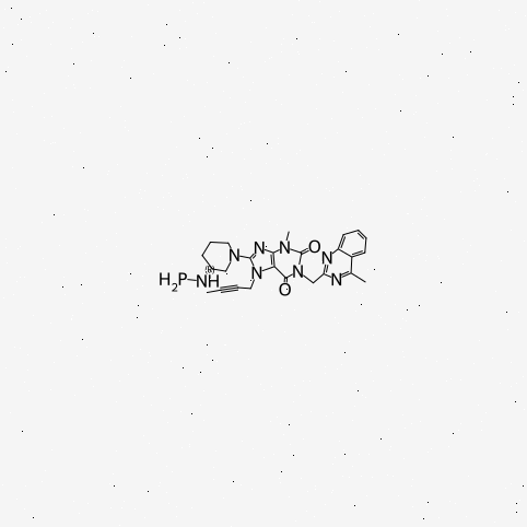 CC#CCn1c(N2CCC[C@@H](NP)C2)nc2c1c(=O)n(Cc1nc(C)c3ccccc3n1)c(=O)n2C